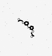 c1cc(OCC2CO2)cc(Sc2cccc(OCC3CO3)c2)c1